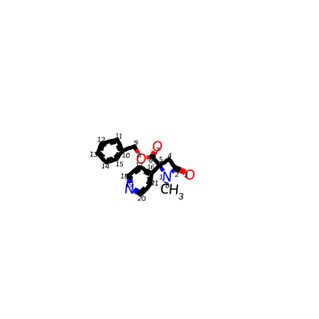 CN1C(=O)CC1(C(=O)OCc1ccccc1)c1ccncc1